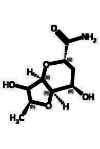 C[C@@H]1O[C@@H]2[C@H](O)C[C@@H](C(N)=O)O[C@@H]2C1O